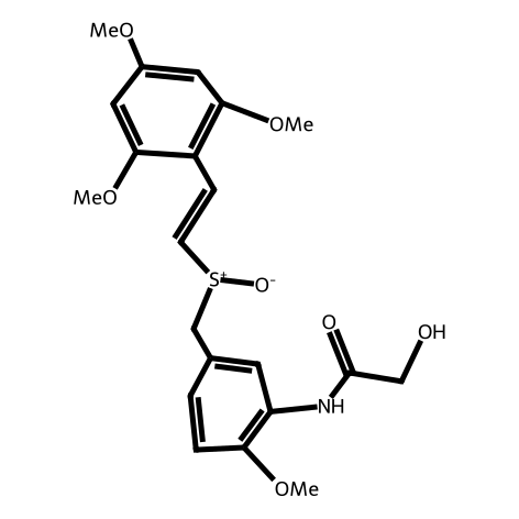 COc1cc(OC)c(C=C[S+]([O-])Cc2ccc(OC)c(NC(=O)CO)c2)c(OC)c1